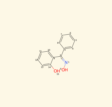 ON=C(c1ccccc1)c1ccccc1O